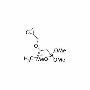 C/C=C(/C[Si](OC)(OC)OC)OCC1CO1